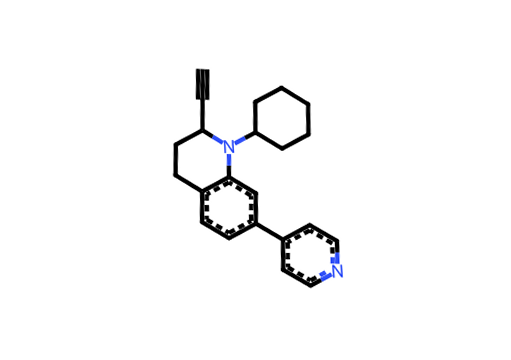 C#CC1CCc2ccc(-c3ccncc3)cc2N1C1CCCCC1